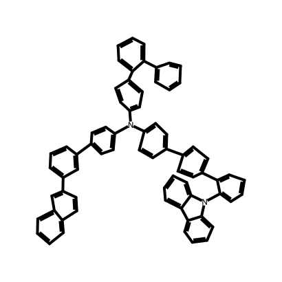 c1ccc(-c2ccccc2-c2ccc(N(c3ccc(-c4ccc(-c5ccccc5-n5c6ccccc6c6ccccc65)cc4)cc3)c3ccc(-c4cccc(-c5ccc6ccccc6c5)c4)cc3)cc2)cc1